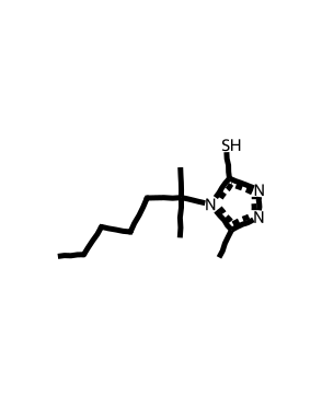 CCCCCC(C)(C)n1c(C)nnc1S